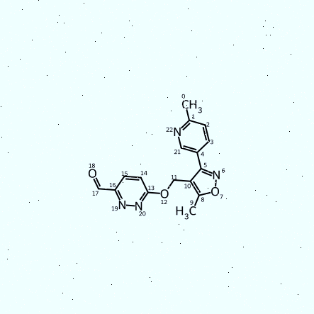 Cc1ccc(-c2noc(C)c2COc2ccc(C=O)nn2)cn1